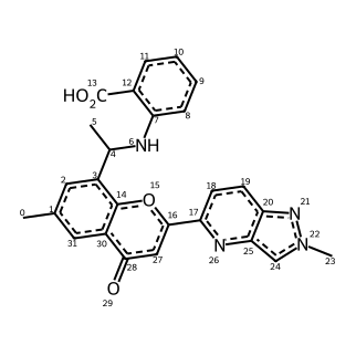 Cc1cc(C(C)Nc2ccccc2C(=O)O)c2oc(-c3ccc4nn(C)cc4n3)cc(=O)c2c1